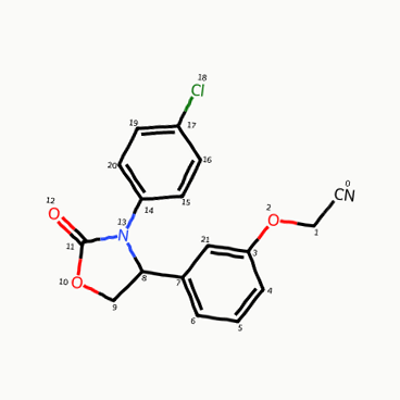 N#CCOc1cccc(C2COC(=O)N2c2ccc(Cl)cc2)c1